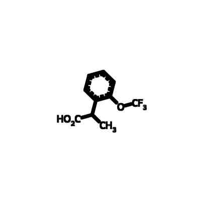 CC(C(=O)O)c1ccccc1OC(F)(F)F